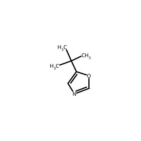 CC(C)(C)c1cn[c]o1